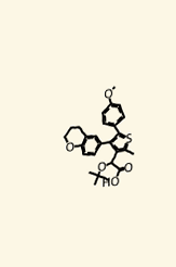 COc1ccc(-c2sc(C)c(C(OC(C)(C)C)C(=O)O)c2-c2ccc3c(c2)CCCO3)cc1